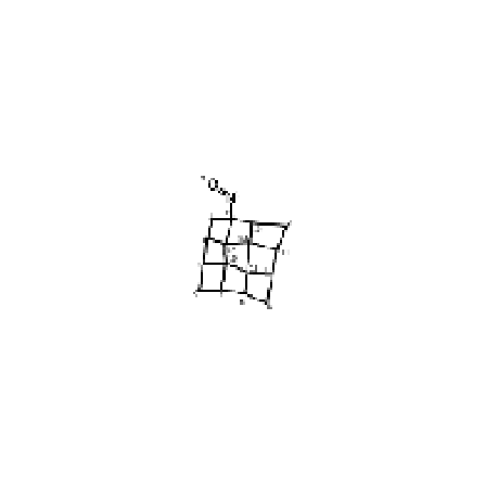 O=NC12CC3C4CC5C6CC7C8CC1C81C67C54C321